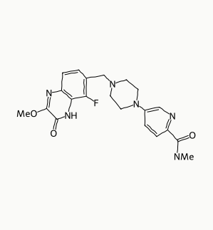 CNC(=O)c1ccc(N2CCN(Cc3ccc4nc(OC)c(=O)[nH]c4c3F)CC2)cn1